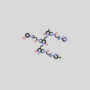 COc1cccc(N2CC(CC(=O)N3Cc4c(CCn5c6c(c(C)cc5=O)CN(C(=O)CC5CN(c7ccncn7)C5)C6)cc(=O)n(CCc5cc(=O)n(C)c6c5CN(C(=O)CC5CN(c7ccc(C(F)(F)F)cn7)C5)C6)c4C3)C2)c1